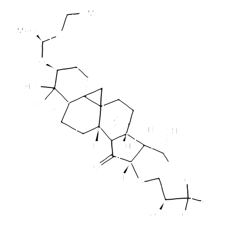 COCO[C@H](OC)O[C@H]1CC[C@]23CC24CC[C@]2(C)[C@H]5[C@H](C)C[C@H]([C@H](OC(C)=O)C(C)(C)O)O[C@@H]5C(=O)[C@@]2(C)[C@@H]4CC[C@H]3C1(C)C